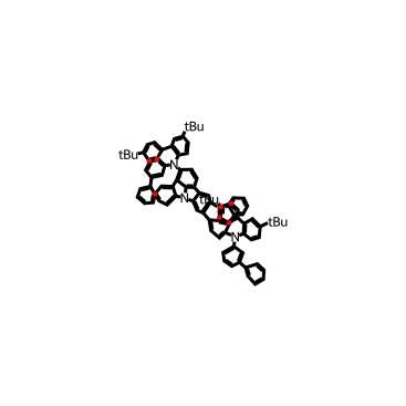 CC(C)(C)c1ccc(-c2cc(C(C)(C)C)ccc2N(c2cccc(-c3ccccc3)c2)c2ccc3c4cc5c(cc4n4c6ccccc6c2c34)c2ccc(N(c3cccc(-c4ccccc4)c3)c3ccc(C(C)(C)C)cc3-c3ccc(C(C)(C)C)cc3)c3c4ccccc4n5c23)cc1